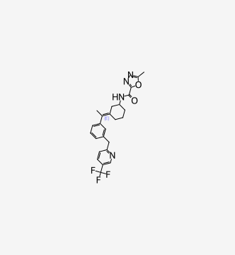 C/C(=C1/CCCC(NC(=O)c2nnc(C)o2)C1)c1cccc(Cc2ccc(C(F)(F)F)cn2)c1